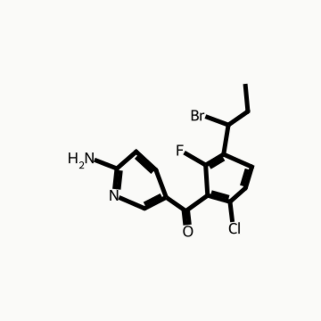 CCC(Br)c1ccc(Cl)c(C(=O)c2ccc(N)nc2)c1F